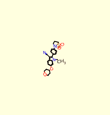 CCn1c(-c2ccc(N3CCCS3(=O)=O)cc2)c(C#N)c2ccc(OC3CCOCC3)cc21